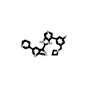 Fc1cc(CN2CCC2)cc(-c2cncc3c2NC(c2n[nH]c4ncc(-c5cccnc5)cc24)N3)c1